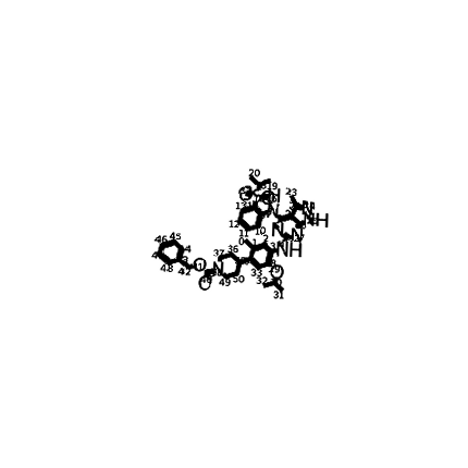 Cc1cc(Nc2nc(Nc3ccccc3S(=O)(=O)C(C)C)c3c(C)n[nH]c3n2)c(OC(C)C)cc1C1CCN(C(=O)OCc2ccccc2)CC1